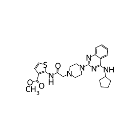 COC(=O)c1ccsc1NC(=O)CN1CCN(c2nc(NC3CCCC3)c3ccccc3n2)CC1